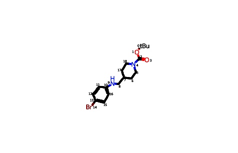 CC(C)(C)OC(=O)N1CCC(CNc2ccc(Br)cc2)CC1